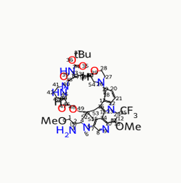 COC[C@@H](N)CN(C)c1cnc([C@H](C)OC)c(-c2c3c4cc(ccc4n2CC(F)(F)F)N2CCO[C@@H](C[C@H](NC(=O)OC(C)(C)C)C(=O)N4CCC[C@H](N4)C(=O)OCC(C)(C)C3)C2)c1